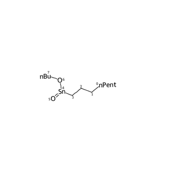 CCCCCCC[CH2][Sn](=[O])[O]CCCC